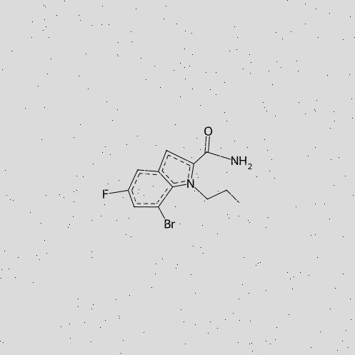 CCCn1c(C(N)=O)cc2cc(F)cc(Br)c21